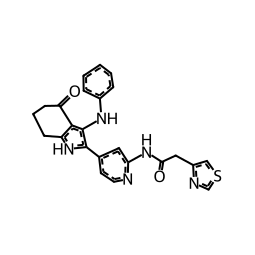 O=C(Cc1cscn1)Nc1cc(-c2[nH]c3c(c2Nc2ccccc2)C(=O)CCC3)ccn1